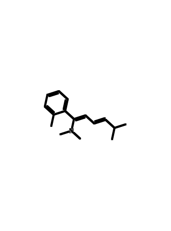 Cc1ccccc1/C(=C/C=CC(C)C)N(C)C